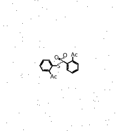 CC(=O)c1ccccc1SS(=O)(=O)c1ccccc1C(C)=O